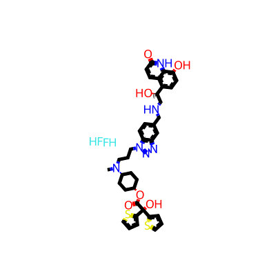 CN(CCCn1nnc2cc(CNC[C@H](O)c3ccc(O)c4[nH]c(=O)ccc34)ccc21)[C@H]1CC[C@H](OC(=O)C(O)(c2cccs2)c2cccs2)CC1.F.F